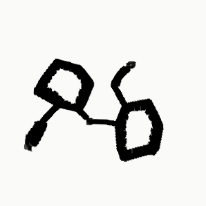 N#Cc1ccccc1Sc1ccccc1C=O